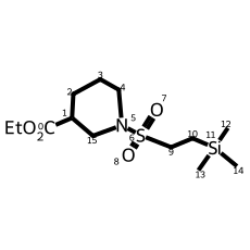 CCOC(=O)C1CCCN(S(=O)(=O)CC[Si](C)(C)C)C1